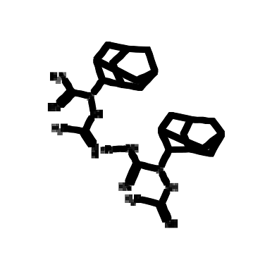 CCCNC(=N)N(NC(=N)N)C1C2CC3CC(C2)CC1C3.N=C(N)NN(C(=N)N)C1C2CC3CC(C2)CC1C3